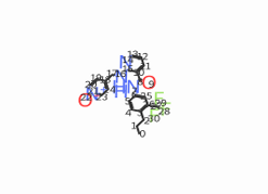 CCCc1ccc(NC(=O)c2cccnc2NCc2cc[n+]([O-])cc2)cc1C(F)(F)F